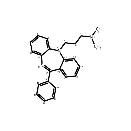 CN(C)CCCN1c2ccccc2N=C(c2ccccc2)c2ccccc21